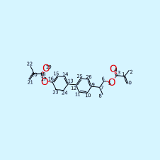 C=C(C)C(=O)OCC(C)c1ccc(C2=CC=C(OC(=O)C(=C)C)CC2)cc1